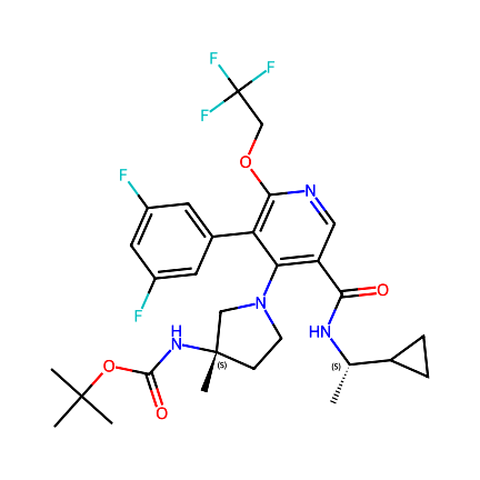 C[C@H](NC(=O)c1cnc(OCC(F)(F)F)c(-c2cc(F)cc(F)c2)c1N1CC[C@](C)(NC(=O)OC(C)(C)C)C1)C1CC1